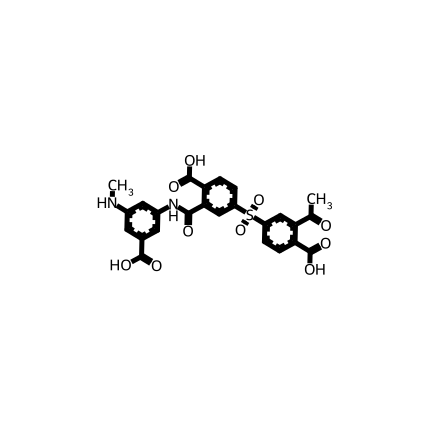 CNc1cc(NC(=O)c2cc(S(=O)(=O)c3ccc(C(=O)O)c(C(C)=O)c3)ccc2C(=O)O)cc(C(=O)O)c1